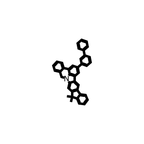 CC1(C)c2ccccc2-c2cc3c4cc(-c5cccc(-c6ccccc6)c5)cc5c4n(c3cc21)Cc1ccccc1-5